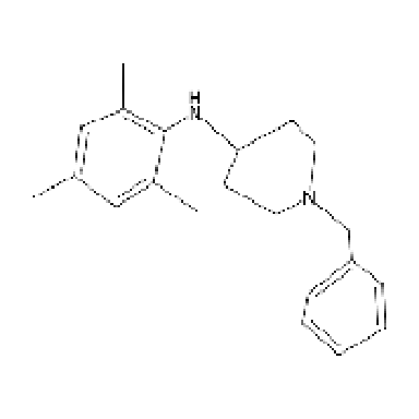 Cc1cc(C)c(NC2CCN(Cc3ccccc3)CC2)c(C)c1